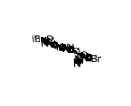 CCC(C)n1ncn(-c2ccc(N3CCN(c4ccc(OC[C@@H]5CO[C@@](Cn6cnnn6)(c6ccc(Br)cc6)O5)cn4)CC3)cc2)c1=O